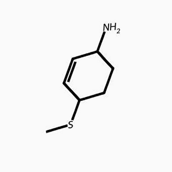 CSC1C=CC(N)CC1